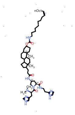 CCCCCCCC/C=C\CCCCCCCCNC(=O)O[C@@H]1CC[C@@]2(C)C(CCC3C2CC[C@]2(C)C(CCC(=O)N[C@H]4C[C@@H](C(=O)NCCc5ncc[nH]5)N(C(=O)C(Cc5c[nH]cn5)N(C)C)C4)CCC32)C1